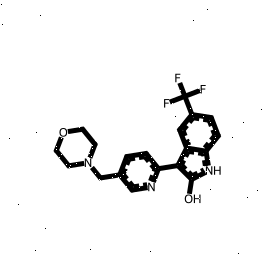 Oc1[nH]c2ccc(C(F)(F)F)cc2c1-c1ccc(CN2CCOCC2)cn1